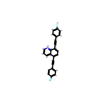 Fc1ccc(C#Cc2ccc(C#Cc3ccc(F)cc3)c3ncccc23)cc1